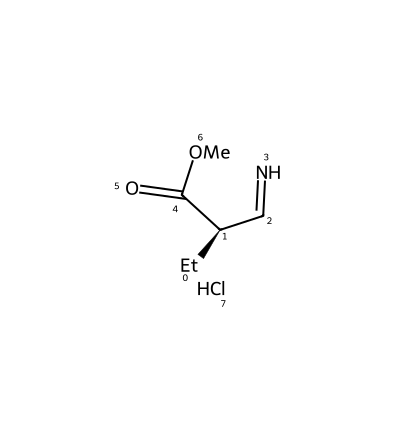 CC[C@H](C=N)C(=O)OC.Cl